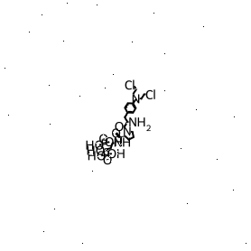 N[C@@H](Cc1ccc(N(CCCl)CCCl)cc1)C(=O)N1CCC[C@H]1C(=O)NCCC(O)(P(=O)(O)O)P(=O)(O)O